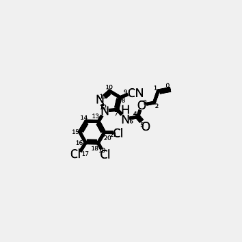 C=CCOC(=O)Nc1c(C#N)cnn1-c1ccc(Cl)c(Cl)c1Cl